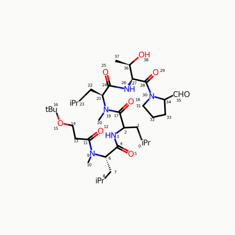 CC(C)CC(NC(=O)[C@H](CC(C)C)N(C)C(=O)CCOC(C)(C)C)C(=O)N(C)[C@@H](CC(C)C)C(=O)N[C@H](C(=O)N1CCCC1C=O)[C@@H](C)O